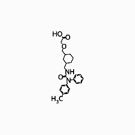 Cc1ccc(N(C(=O)NCC2CCCC(COCC(=O)O)C2)c2ccccc2)cc1